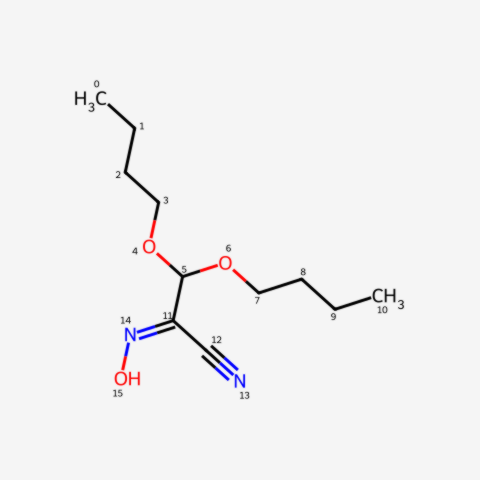 CCCCOC(OCCCC)C(C#N)=NO